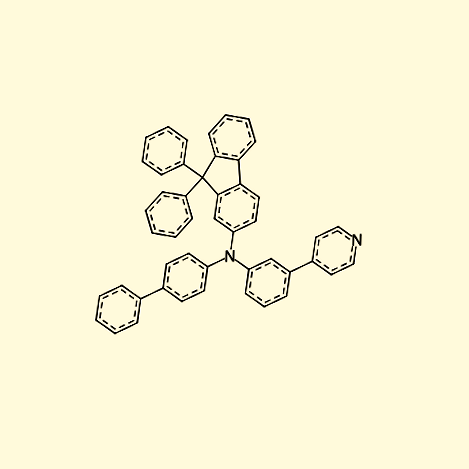 c1ccc(-c2ccc(N(c3cccc(-c4ccncc4)c3)c3ccc4c(c3)C(c3ccccc3)(c3ccccc3)c3ccccc3-4)cc2)cc1